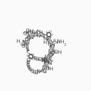 C[C@@H](O)[C@@H]1NC(=O)[C@H](Cc2ccccc2)NC(=O)[C@H](CCCCN)NC(=O)[C@H](CC(=O)O)NC(=O)[C@H](Cc2cnc[nH]2)NC(=O)[C@@H]2CSCc3cc(cc(c3)OCCCCCCO/N=C/C(=O)N[C@@H](CO)C(=O)N2)CSC[C@@H](C(N)=O)NC(=O)[C@H](CCC(=O)O)NC1=O